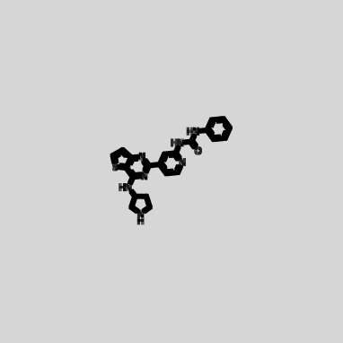 O=C(Nc1ccccc1)Nc1cc(-c2nc(NC3CCNC3)c3sccc3n2)ccn1